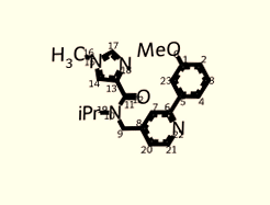 COc1cccc(-c2cc(CN(C(=O)c3cn(C)cn3)C(C)C)ccn2)c1